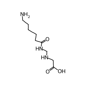 NCCCCCC(=O)NCNCC(=O)O